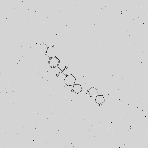 O=S(=O)(c1ccc(OC(F)F)cc1)N1CCC2(CC1)C[C@H](N1CC[C@@]3(CCOC3)C1)CO2